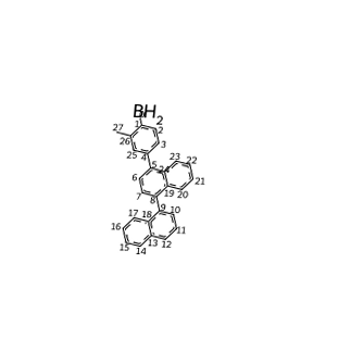 Bc1ccc(-c2ccc(-c3cccc4ccccc34)c3ccccc23)cc1C